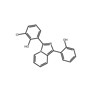 Oc1ccccc1-c1nc(-c2cccc(Cl)c2O)n2ccccc12